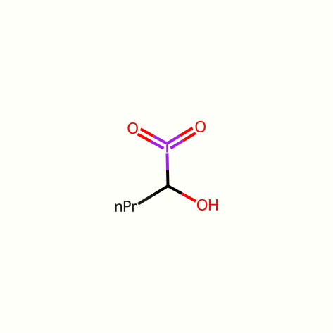 CCCC(O)I(=O)=O